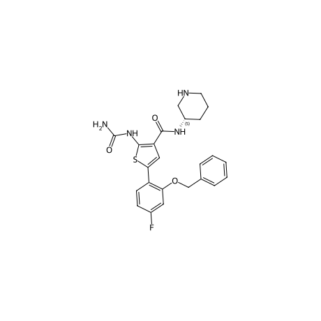 NC(=O)Nc1sc(-c2ccc(F)cc2OCc2ccccc2)cc1C(=O)N[C@H]1CCCNC1